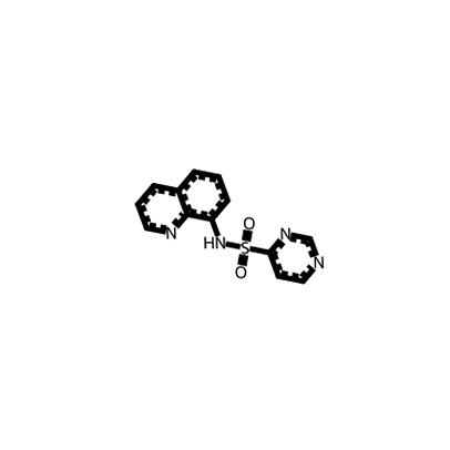 O=S(=O)(Nc1cccc2cccnc12)c1ccncn1